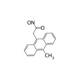 Cc1c2ccccc2c(CC(=O)N=O)c2ccccc12